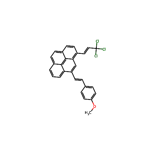 COc1ccc(C=Cc2cc3c(C=CC(Cl)(Cl)Cl)ccc4ccc5cccc2c5c43)cc1